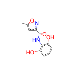 Cc1cc(C(=O)Nc2c(O)cccc2O)no1